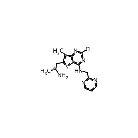 Cc1c(C[C@H](C)N)sc2c(NCc3ncccn3)nc(Cl)nc12